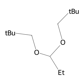 CCC(OCC(C)(C)C)OCC(C)(C)C